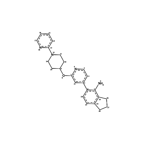 Nc1c(-c2ccnc(OC3CCN(c4ccccn4)CC3)c2)ccc2c1CCC2